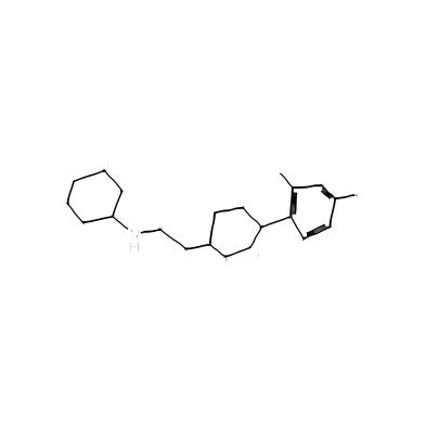 Fc1ccc(C2CCC(CCNC3CCCCC3)CC2)c(F)c1